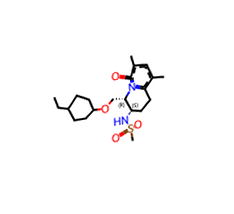 CCC1CCC(OC[C@H]2[C@@H](NS(C)(=O)=O)CCc3c(C)cc(C)c(=O)n32)CC1